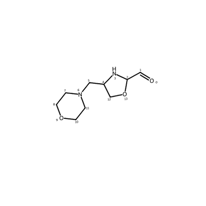 O=CC1NC(CN2CCOCC2)CO1